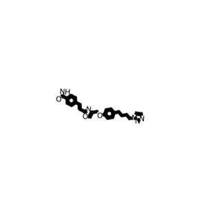 NC(=O)c1ccc(/C=C/c2nc(COc3ccc(CCCCn4ccnn4)cc3)co2)cc1